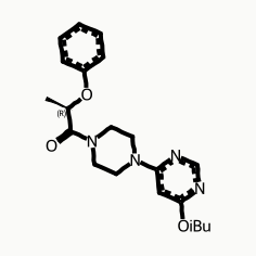 CC(C)COc1cc(N2CCN(C(=O)[C@@H](C)Oc3ccccc3)CC2)ncn1